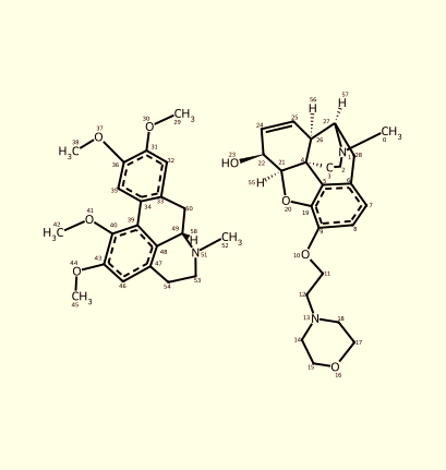 CN1CC[C@]23c4c5ccc(OCCN6CCOCC6)c4O[C@H]2[C@@H](O)C=C[C@H]3[C@H]1C5.COc1cc2c(cc1OC)-c1c(OC)c(OC)cc3c1[C@H](C2)N(C)CC3